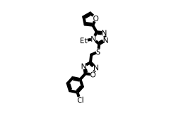 CCn1c(SCc2noc(-c3cccc(Cl)c3)n2)nnc1-c1ccco1